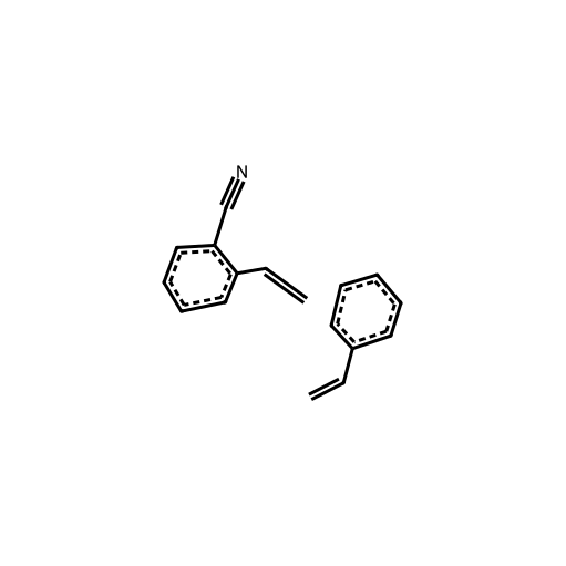 C=Cc1ccccc1.C=Cc1ccccc1C#N